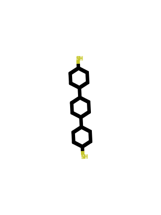 SC1CCC(C2CCC(C3CCC(S)CC3)CC2)CC1